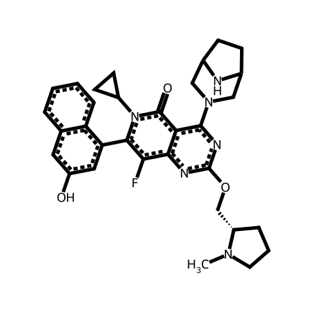 CN1CCC[C@H]1COc1nc(N2CC3CCC(C2)N3)c2c(=O)n(C3CC3)c(-c3cc(O)cc4ccccc34)c(F)c2n1